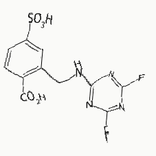 O=C(O)c1ccc(S(=O)(=O)O)cc1CNc1nc(F)nc(F)n1